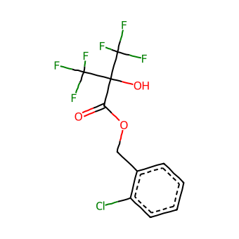 O=C(OCc1ccccc1Cl)C(O)(C(F)(F)F)C(F)(F)F